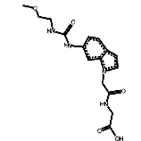 COCCNC(=O)Nc1ccc2ccn(CC(=O)NCC(=O)O)c2c1